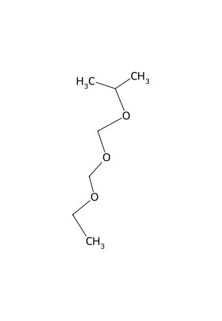 CCOCOCOC(C)C